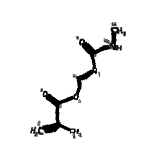 C=C(C)C(=O)OCOC(=O)NC